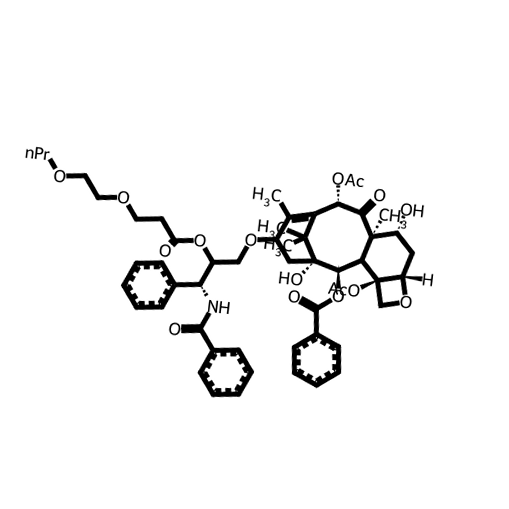 CCCOCCOCCC(=O)OC(COC1C[C@]2(O)[C@H](OC(=O)c3ccccc3)C3[C@@]4(OC(C)=O)CO[C@H]4C[C@@H](O)[C@]3(C)C(=O)[C@@H](OC(C)=O)C(=C1C)C2(C)C)[C@H](NC(=O)c1ccccc1)c1ccccc1